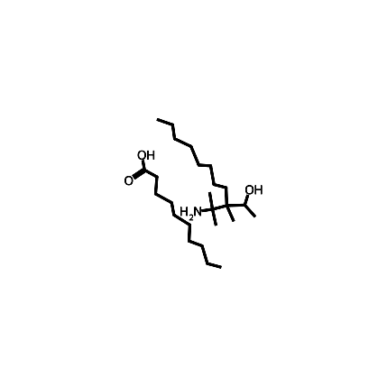 CCCCCCCCC(C)(C(C)O)C(C)(C)N.CCCCCCCCCC(=O)O